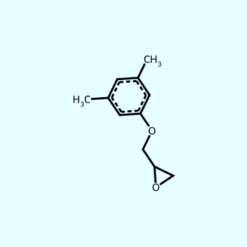 Cc1cc(C)cc(OCC2CO2)c1